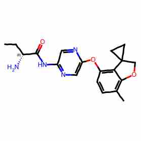 CC[C@@H](N)C(=O)Nc1cnc(Oc2ccc(C)c3c2C2(CC2)CO3)cn1